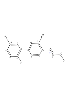 CO/N=C/c1ccc(-c2cc(F)ccc2C)cc1F